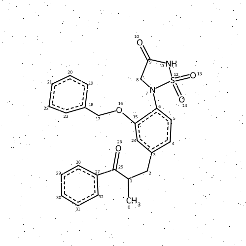 CC(Cc1ccc(N2CC(=O)NS2(=O)=O)c(OCc2ccccc2)c1)C(=O)c1ccccc1